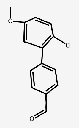 COc1ccc(Cl)c(-c2ccc(C=O)cc2)c1